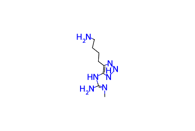 CN=C(N)Nc1[nH]nnc1CCCCN